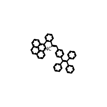 N#C/C(=C\c1ccc(C(=C(c2ccccc2)c2ccccc2)c2ccccc2)cc1)c1ccccc1-c1cc2cccc3ccc4cccc1c4c32